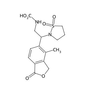 Cc1c(C(CNC(=O)O)N2CCCS2(=O)=O)ccc2c1COC2=O